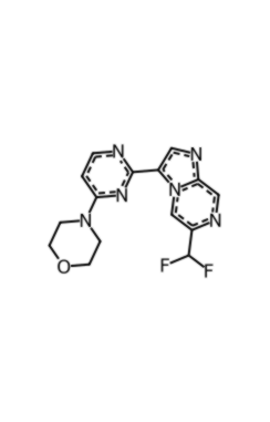 FC(F)c1cn2c(-c3nccc(N4CCOCC4)n3)cnc2cn1